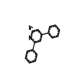 [Ir].c1ccc(-c2ccnc(-c3ccccc3)c2)cc1